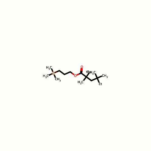 CCC(C)(C)CC(C)(C(=O)OCCCS(C)(C)C)C(C)(C)C